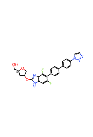 OC[C@@H]1CC(Oc2nc3c(F)c(-c4ccc(-c5ccc(-n6ccnn6)cc5)cc4)c(F)cc3[nH]2)CO1